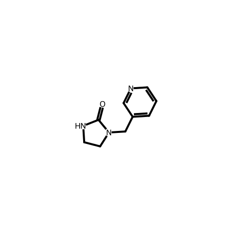 O=C1NCCN1Cc1cccnc1